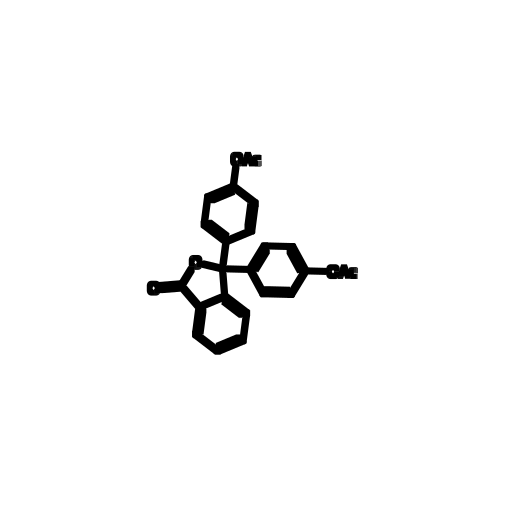 CC(=O)Oc1ccc(C2(c3ccc(OC(C)=O)cc3)OC(=O)c3ccccc32)cc1